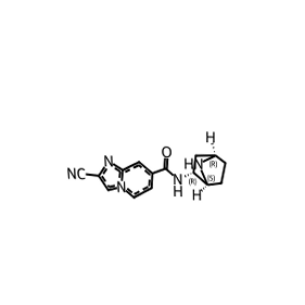 N#Cc1cn2ccc(C(=O)N[C@@H]3C[C@H]4CC[C@@H]3N4)cc2n1